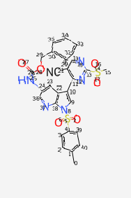 Cc1ccc(S(=O)(=O)n2cc(-c3nc(S(C)(=O)=O)ncc3C#N)c3cc(NC(=O)OCc4ccccc4)cnc32)cc1